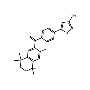 C=C(c1ccc(-c2cc(O)no2)cc1)c1cc2c(cc1C)C(C)(C)CCC2(C)C